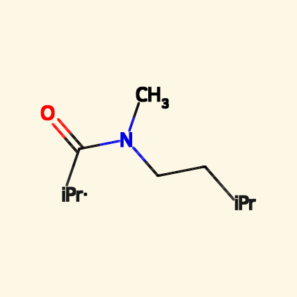 C[C](C)C(=O)N(C)CCC(C)C